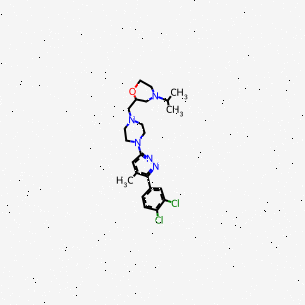 Cc1cc(N2CCN(CC3CN(C(C)C)CCO3)CC2)nnc1-c1ccc(Cl)c(Cl)c1